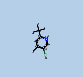 Cc1cc(C(C)(C)C)ncc1Cl